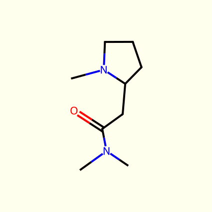 CN(C)C(=O)CC1CCCN1C